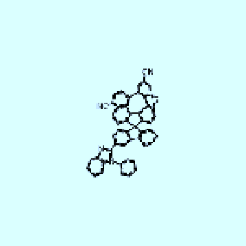 N#Cc1ccc(-c2cc(C#N)cc3sc4ccc5c(c4c23)-c2ccccc2C52c3ccccc3-c3cc(-c4nc5ccccc5n4-c4ccccc4)ccc32)cc1